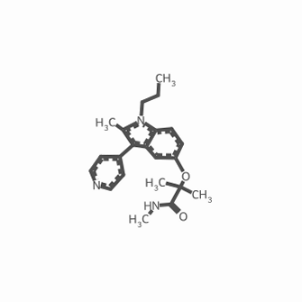 CCCn1c(C)c(-c2ccncc2)c2cc(OC(C)(C)C(=O)NC)ccc21